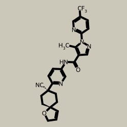 Cc1c(C(=O)Nc2ccc([C@]3(C#N)CC[C@]4(C=CCO4)CC3)nc2)cnn1-c1ccc(C(F)(F)F)cn1